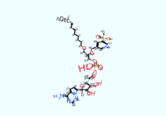 CCCCCCCCCCCCCCCCCCOC[C@H](COP(=O)(O)OC[C@H]1O[C@@](C)(c2ccc3c(N)ncnn23)[C@H](O)[C@@H]1O)OCc1cncc(S(C)(=O)=O)c1